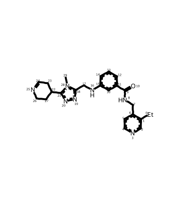 CCc1cnccc1CNC(=O)c1cccc(NCc2nnc(C3CC=NCC3)n2C)c1